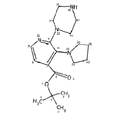 CC(C)(C)OC(=O)c1ccnc(N2CCNCC2)c1N1CCCC1